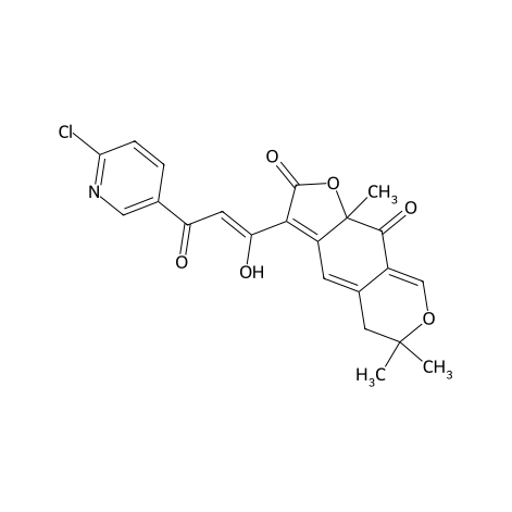 CC1(C)CC2=CC3=C(C(O)=CC(=O)c4ccc(Cl)nc4)C(=O)OC3(C)C(=O)C2=CO1